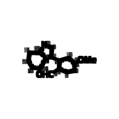 COc1ccc(C=O)c(-c2cnc3ccccn23)c1